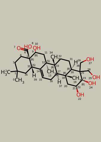 CC1(C)CC[C@]2(C(=O)O)[C@H](O)C[C@]3(C)C(=CC[C@@H]4[C@@]5(C)C[C@H](O)[C@H](O)C(CO)(CO)[C@@H]5CC[C@]43C)[C@@H]2C1